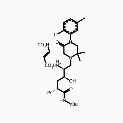 CCCCNC(=O)[C@@H](C[C@H](O)[C@@H](N)CN1CC(=O)N(c2cc(F)ccc2Cl)CC1(C)C)C(C)C.O=C(O)C=CC(=O)O